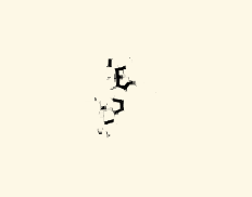 CC(O)[C@H]1C(=O)N2C(C(=O)O)=C(SC3C[C@@H](CC(=O)N(C)C)N(C=N)C3)[C@@H](C)[C@H]12